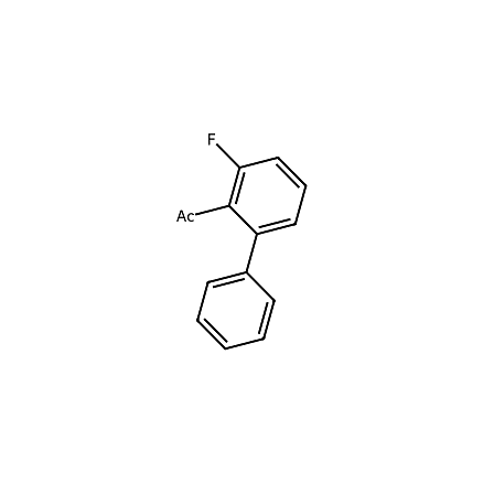 CC(=O)c1c(F)cccc1-c1ccccc1